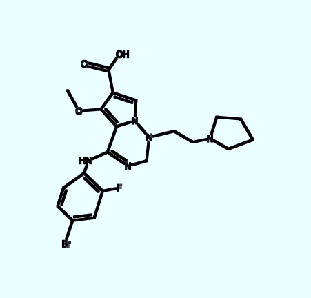 COc1c(C(=O)O)cn2c1C(Nc1ccc(Br)cc1F)=NCN2CCN1CCCC1